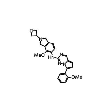 COc1ccccc1-c1ccc2cnc(Nc3ccc4c(c3OC)CN(C3COC3)C4)nn12